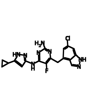 Nc1nc(Cc2cc(Cl)cc3[nH]ncc23)c(F)c(Nc2cc(C3CC3)[nH]n2)n1